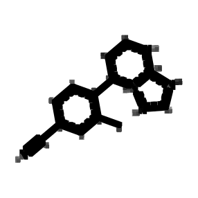 Cc1cc(C#N)ccc1-c1ccnc2ncnn12